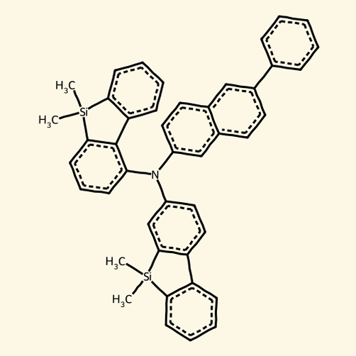 C[Si]1(C)c2ccccc2-c2ccc(N(c3ccc4cc(-c5ccccc5)ccc4c3)c3cccc4c3-c3ccccc3[Si]4(C)C)cc21